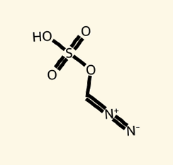 [N-]=[N+]=COS(=O)(=O)O